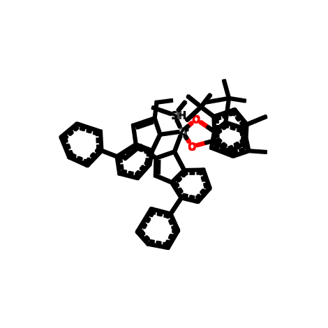 CCC1=Cc2c(-c3ccccc3)cccc2[CH]1[Zr]([O]c1ccc(C)cc1C(C)(C)C)([O]c1ccc(C)cc1C(C)(C)C)([CH]1C(CC)=Cc2c(-c3ccccc3)cccc21)[SiH](C)C